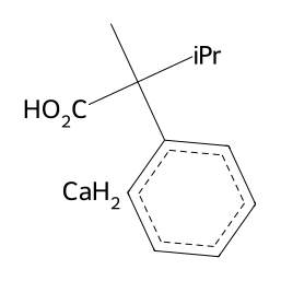 CC(C)C(C)(C(=O)O)c1ccccc1.[CaH2]